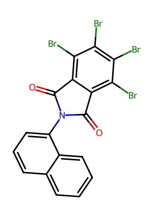 O=C1c2c(Br)c(Br)c(Br)c(Br)c2C(=O)N1c1cccc2ccccc12